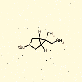 CC(C)(C)N1C[C@@H]2[C@H](C1)[C@@]2(C)CN